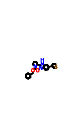 O=C(OCc1ccccc1)N1CCCC1c1nc2ccc(-c3ccsc3)cc2[nH]1